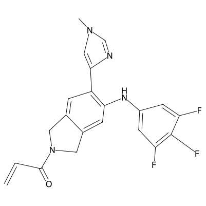 C=CC(=O)N1Cc2cc(Nc3cc(F)c(F)c(F)c3)c(-c3cn(C)cn3)cc2C1